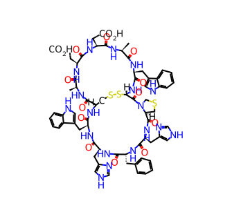 C[C@@H]1NC(=O)[C@H](CC(=O)O)NC(=O)[C@H](CC(=O)O)NC(=O)[C@H](C)NC(=O)[C@@H]2CSS[C@H](NC(=O)[C@H](Cc3c[nH]c4ccccc34)NC1=O)C(=O)N1CSC[C@H]1C(=O)N[C@@H](Cc1c[nH]cn1)C(=O)N[C@H](Cc1ccccc1)C(=O)N[C@@H](Cc1c[nH]cn1)C(=O)N[C@@H](Cc1c[nH]c3ccccc13)C(=O)N2